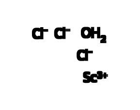 O.[Cl-].[Cl-].[Cl-].[Sc+3]